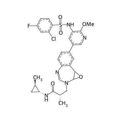 COc1ncc(-c2ccc3c(c2)C2OC2N(C[C@H](C)C(=O)N[C@@H]2C[C@H]2C)C=N3)cc1NS(=O)(=O)c1ccc(F)cc1Cl